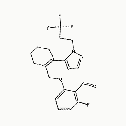 O=Cc1c(F)cccc1OCC1=C(c2ccnn2CCC(F)(F)F)CCCC1